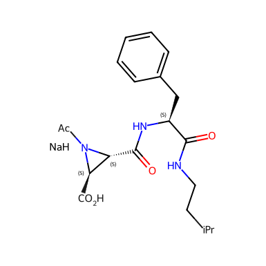 CC(=O)N1[C@H](C(=O)O)[C@H]1C(=O)N[C@@H](Cc1ccccc1)C(=O)NCCC(C)C.[NaH]